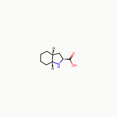 O=C(O)[C@@H]1C[C@H]2CCCC[C@H]2N1